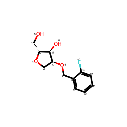 OC[C@H]1OC[C@H](OCc2ccccc2F)[C@@H]1O